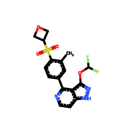 Cc1cc(-c2nccc3[nH]nc(OC(F)F)c23)ccc1S(=O)(=O)C1COC1